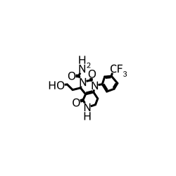 NC(=O)N1C(=O)N(c2cccc(C(F)(F)F)c2)C2=C(C(=O)NCC2)C1CCO